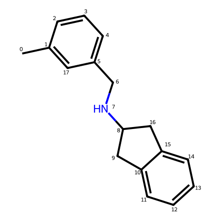 Cc1cccc(CNC2Cc3ccccc3C2)c1